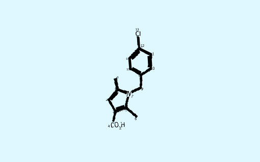 Cc1cc(C(=O)O)c(C)n1Cc1ccc(Cl)cc1